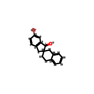 O=C1c2cc(Br)ccc2CC12CCc1ccccc1C2